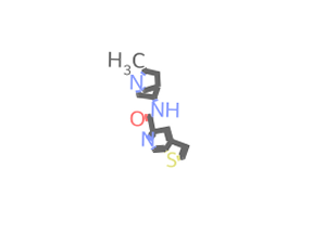 CC1CC2CN1CC2NC(=O)c1cc2ccsc2cn1